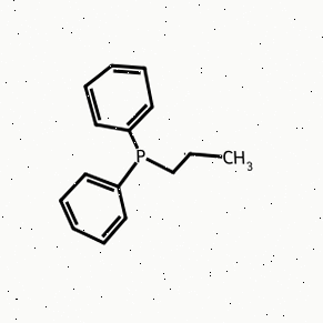 C[CH]CP(c1ccccc1)c1ccccc1